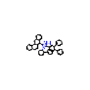 c1ccc(-c2ccc(C3NC(c4c5ccccc5cc5c4ccc4ccccc45)N3c3ccccc3-c3ccccc3)cc2-c2ccccc2)cc1